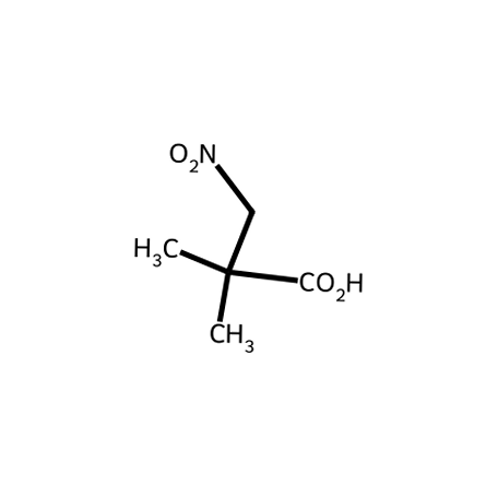 CC(C)(C[N+](=O)[O-])C(=O)O